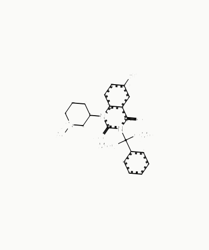 COC(OC)(c1ccccc1)n1c(=O)c2cc(Br)ccc2n(C2CCCN(C(C)=O)C2)c1=O